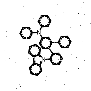 c1ccc(-c2cc(N(c3ccccc3)c3ccccc3)ccc2-c2ccccc2-n2c3ccccc3c3ccccc32)cc1